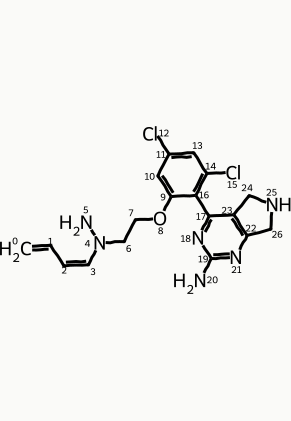 C=C/C=C\N(N)CCOc1cc(Cl)cc(Cl)c1-c1nc(N)nc2c1CNC2